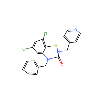 O=C1N(Cc2ccncc2)Sc2c(Cl)cc(Cl)cc2N1Cc1ccccc1